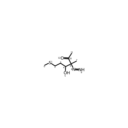 CSCCC(O)C(C)(N=N)C(C)=O